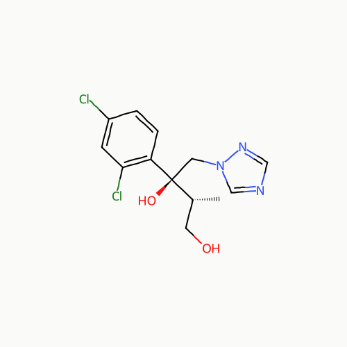 C[C@H](CO)[C@@](O)(Cn1cncn1)c1ccc(Cl)cc1Cl